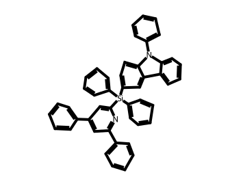 c1ccc(-c2cc(-c3ccccc3)nc([Si](c3ccccc3)(c3ccccc3)c3ccc4c(c3)c3ccccc3n4-c3ccccc3)c2)cc1